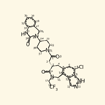 O=C(C[C@@H]1Cc2cc(Cl)c3[nH]ncc3c2CN(CC(F)(F)F)C1=O)N1CCC(N2Cc3ccccc3NC2=O)CC1